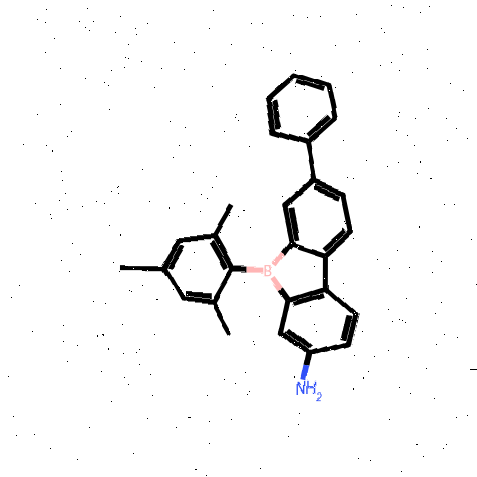 Cc1cc(C)c(B2c3cc(N)ccc3-c3ccc(-c4ccccc4)cc32)c(C)c1